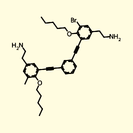 CCCCCOc1c(C)cc(CCN)cc1C#Cc1cccc(C#Cc2cc(CCN)cc(Br)c2OCCCCC)c1